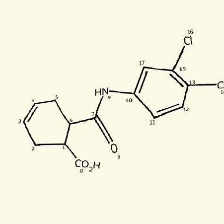 O=C(O)C1CC=CCC1C(=O)Nc1ccc(Cl)c(Cl)c1